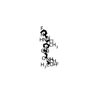 C[C@H]1CN(S(=O)(=O)C=CC(=O)NCC(C)(C)O)CC[C@H]1c1[nH]c(-c2ccc(F)cn2)nc1Cl